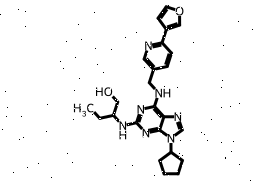 CCC(CO)Nc1nc(NCc2ccc(-c3ccoc3)nc2)c2ncn(C3CCCC3)c2n1